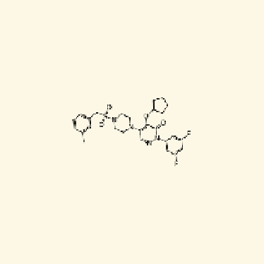 Cc1cccc(CS(=O)(=O)N2CCN(c3cnn(-c4cc(F)cc(F)c4)c(=O)c3OC3CCCC3)CC2)c1